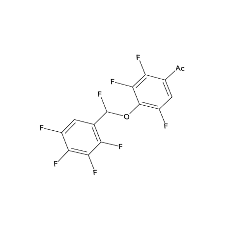 CC(=O)c1cc(F)c(OC(F)c2cc(F)c(F)c(F)c2F)c(F)c1F